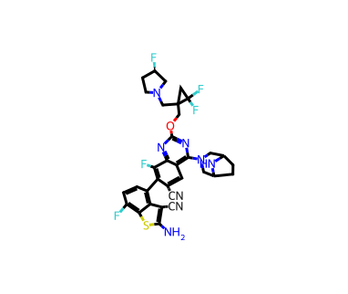 N#Cc1cc2c(N3CC4CCC(C3)N4)nc(OCC3(CN4CC[C@@H](F)C4)CC3(F)F)nc2c(F)c1-c1ccc(F)c2sc(N)c(C#N)c12